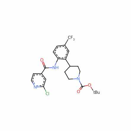 CC(C)(C)OC(=O)N1CCC(c2cc(C(F)(F)F)ccc2NC(=O)c2ccnc(Cl)c2)CC1